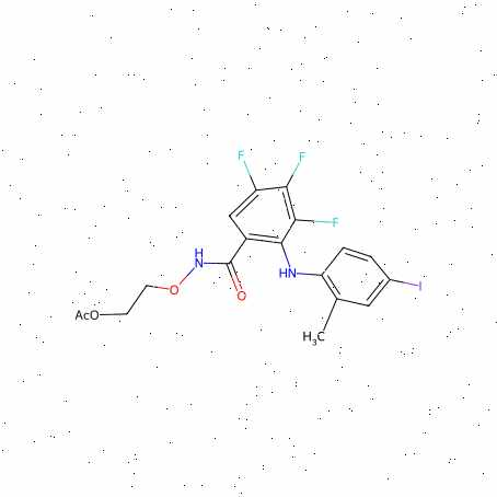 CC(=O)OCCONC(=O)c1cc(F)c(F)c(F)c1Nc1ccc(I)cc1C